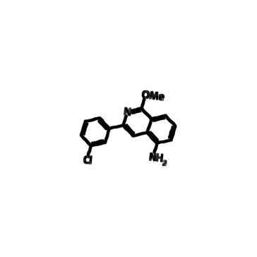 COc1nc(-c2cccc(Cl)c2)cc2c(N)cccc12